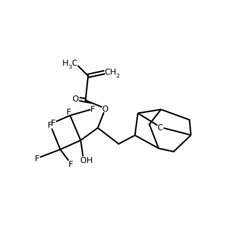 C=C(C)C(=O)OC(CC1C2CC3CC(C2)C1C3)C(O)(C(F)(F)F)C(F)(F)F